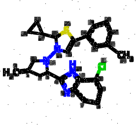 C=C1CC(c2nc3cccc(Cl)c3[nH]2)N(N2[C]=C(c3cccc(C)c3)SC2C2CC2)C1